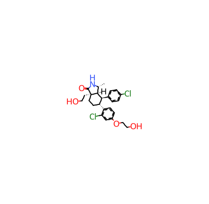 C[C@H]1NC(=O)[C@]2(CCO)CC[C@@H](c3ccc(OCCO)cc3Cl)[C@H](c3ccc(Cl)cc3)[C@H]12